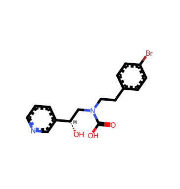 O=C(O)N(CCc1ccc(Br)cc1)C[C@H](O)c1cccnc1